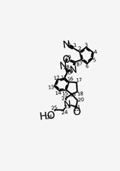 N#Cc1ccccc1-c1nc(-c2cccc3c2CCC32CC(=O)N(CCO)C2)no1